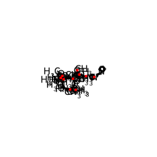 CC[C@H]1OC(=O)[C@H](C)[C@@H](O[C@H]2C[C@@](C)(OC)[C@@H](OC(=O)CCN3CCN(CCCN4CCCCC4)CC3)[C@H](C)O2)C(C)[C@@H](O[C@@H]2O[C@H](C)C[C@H](N(C)C)[C@H]2O)[C@](C)(OC)C[C@@H](C)C(=O)N[C@H](C)[C@@H](O)[C@]1(C)O